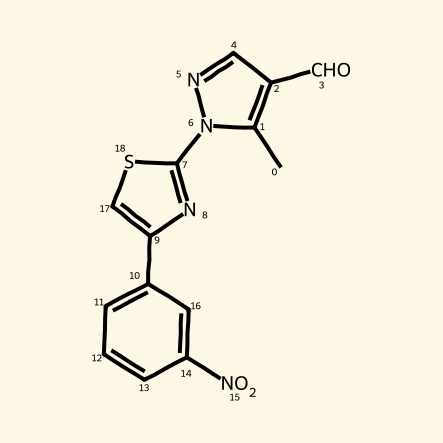 Cc1c(C=O)cnn1-c1nc(-c2cccc([N+](=O)[O-])c2)cs1